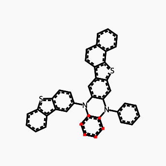 c1ccc(N(c2ccccc2)c2cc3sc4c5ccccc5ccc4c3cc2N(c2ccccc2)c2ccc3sc4ccccc4c3c2)cc1